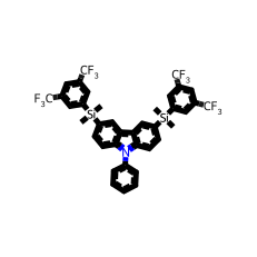 C[Si](C)(c1cc(C(F)(F)F)cc(C(F)(F)F)c1)c1ccc2c(c1)c1cc([Si](C)(C)c3cc(C(F)(F)F)cc(C(F)(F)F)c3)ccc1n2-c1ccccc1